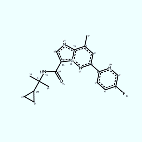 Cc1cc(-c2ccc(F)cn2)nn2c(C(=O)NC(C)(C)C3CC3)cnc12